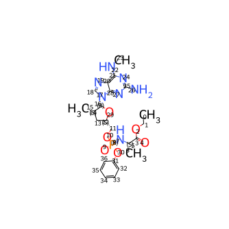 CCOC(=O)[C@H](C)N[P@@](=O)(OC[C@@H]1C[C@H](C)[C@H](n2cnc3c(NC)nc(N)nc32)O1)Oc1ccccc1